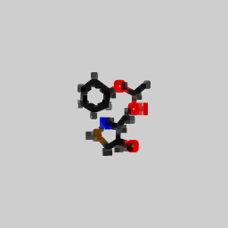 CC(O)Oc1ccccc1.CC1=NSCC1=O